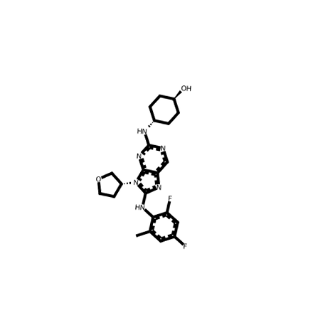 Cc1cc(F)cc(F)c1Nc1nc2cnc(N[C@H]3CC[C@H](O)CC3)nc2n1[C@@H]1CCOC1